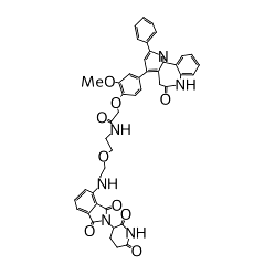 COc1cc(-c2cc(-c3ccccc3)nc3c2CC(=O)Nc2ccccc2-3)ccc1OCC(=O)NCCOCCNc1cccc2c1C(=O)N(C1CCC(=O)NC1=O)C2=O